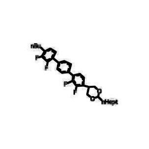 CCCCCCCC1OCC(c2ccc(-c3ccc(-c4ccc(CCCC)c(F)c4F)cc3)c(F)c2F)CO1